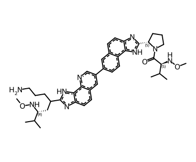 CON[C@H](C(=O)N1CCC[C@H]1c1nc2ccc3cc(-c4cnc5c(ccc6nc(C(CCCN)C[C@@H](NOC)C(C)C)[nH]c65)c4)ccc3c2[nH]1)C(C)C